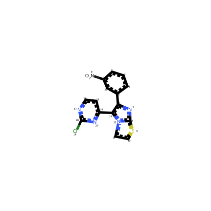 O=[N+]([O-])c1cccc(-c2nc3sccn3c2-c2ccnc(Cl)n2)c1